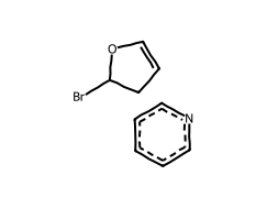 BrC1CC=CO1.c1ccncc1